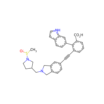 C[S+]([O-])N1CCC(CN2Cc3ccc(C#Cc4cccc(C(=O)O)c4-c4ccc5cc[nH]c5c4)cc3C2)C1